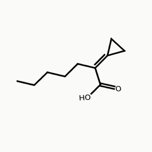 CCCCCC(C(=O)O)=C1CC1